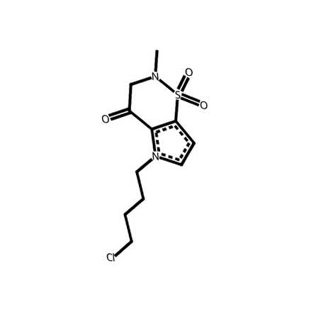 CN1CC(=O)c2c(ccn2CCCCCl)S1(=O)=O